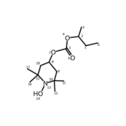 CCC(C)OC(=O)OC1CC(C)(C)N(O)C(C)(C)C1